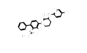 CS(=O)(=O)c1c(-c2ccccc2)ccc(N2CCCC(Nc3ccc(Cl)cn3)C2=O)c1F